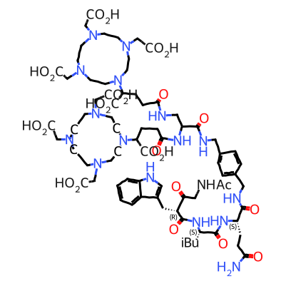 CCC(C)[C@H](NC(=O)[C@H](Cc1c[nH]c2ccccc12)C(=O)CNC(C)=O)C(=O)N[C@@H](CCC(N)=O)C(=O)NCc1ccc(CNC(=O)C(CNC(=O)CCC(C(=O)O)N2CCN(CC(=O)O)CCN(CC(=O)O)CCN(CC(=O)O)CC2)NC(=O)CCC(C(=O)O)N2CCN(CC(=O)O)CCN(CC(=O)O)CCN(CC(=O)O)CC2)cc1